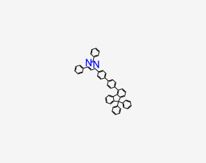 c1ccc(-c2cc(-c3ccc(-c4ccc(-c5cccc6c5-c5ccccc5C6(c5ccccc5)c5ccccc5)cc4)cc3)nc(-c3ccccc3)n2)cc1